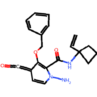 C=CC1(NC(=O)C2=C(OCc3ccccc3)C(=C=O)C=CN2N)CCC1